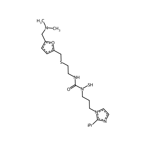 CC(C)c1nccn1CCCN(S)C(=O)NCCSCc1ccc(CN(C)C)o1